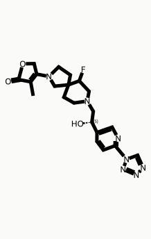 CC1=C(N2CCC3(CCN(C[C@@H](O)c4ccc(-n5cnnn5)nc4)CC3F)C2)COC1=O